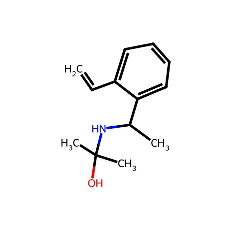 C=Cc1ccccc1C(C)NC(C)(C)O